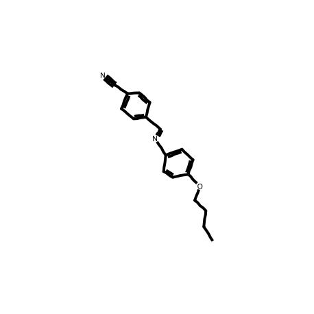 CCCCOc1ccc(N=Cc2ccc(C#N)cc2)cc1